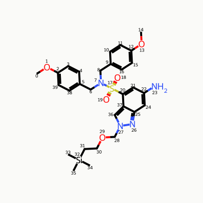 COc1ccc(CN(Cc2ccc(OC)cc2)S(=O)(=O)c2cc(N)cc3nn(COCC[Si](C)(C)C)cc23)cc1